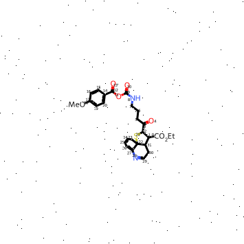 CCOC(=O)C1C(C(=O)CCCNC(=O)OC(=O)c2ccc(OC)cc2)SC23CC=CC=C2N=CCC13